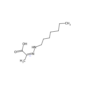 CCCCCCCN/N=C(/C)C(=O)O